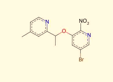 Cc1ccnc(C(C)Oc2cc(Br)cnc2[N+](=O)[O-])c1